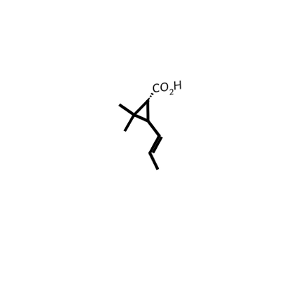 CC=CC1[C@@H](C(=O)O)C1(C)C